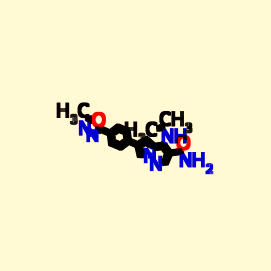 Cc1nnc(-c2ccc(-c3cc4c(NC(C)C)c(C(N)=O)cnn4c3)cc2)o1